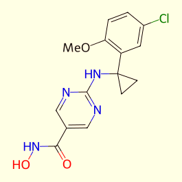 COc1ccc(Cl)cc1C1(Nc2ncc(C(=O)NO)cn2)CC1